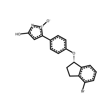 [O-][s+]1nc(O)cc1-c1ccc(O[C@H]2CCc3c(Br)cccc32)cc1